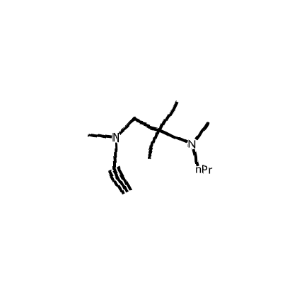 C#CN(C)CC(C)(C)N(C)CCC